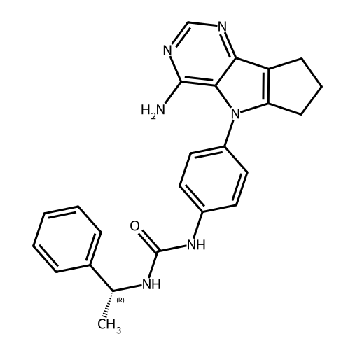 C[C@@H](NC(=O)Nc1ccc(-n2c3c(c4ncnc(N)c42)CCC3)cc1)c1ccccc1